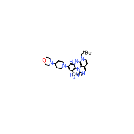 COc1cc(N2CCC(N3CCOCC3)CC2)ccc1N1C(N)=NC=C2C=CN(CC(C)(C)C)C(N)=C21